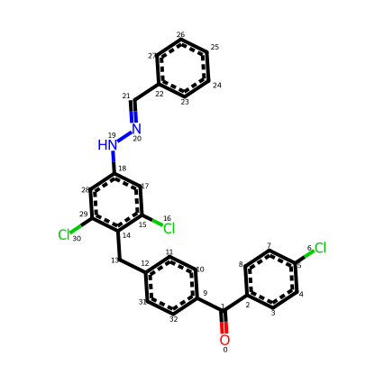 O=C(c1ccc(Cl)cc1)c1ccc(Cc2c(Cl)cc(NN=Cc3ccccc3)cc2Cl)cc1